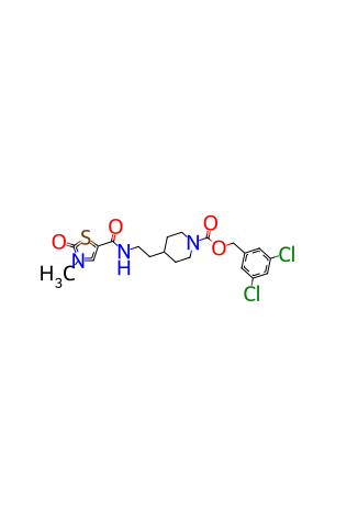 Cn1cc(C(=O)NCCC2CCN(C(=O)OCc3cc(Cl)cc(Cl)c3)CC2)sc1=O